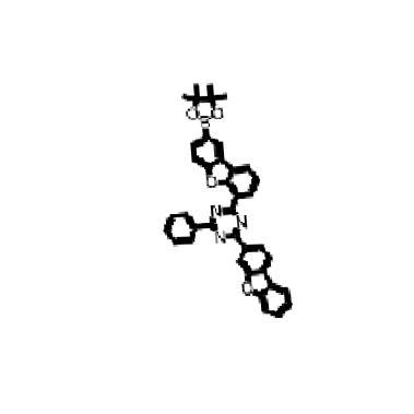 CC1(C)OB(c2ccc3oc4c(-c5nc(-c6ccccc6)nc(-c6ccc7c(c6)oc6ccccc67)n5)cccc4c3c2)OC1(C)C